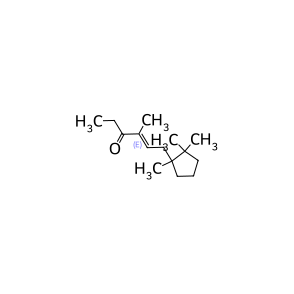 CCC(=O)/C(C)=C/CC1(C)CCCC1(C)C